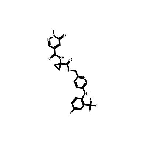 Cn1ncc(C(=O)NC2(C(=O)NCc3ccc(Nc4ccc(F)cc4C(F)(F)F)cn3)CC2)cc1=O